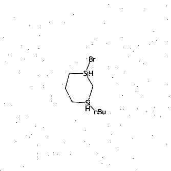 CCCC[SiH]1CCC[SiH](Br)C1